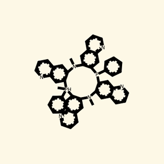 CN1c2cc3cccnc3cc2P(c2ccccc2)c2cc3ncccc3cc2N(C)c2cc3cccnc3cc2[PH](C)(c2ccccc2)c2cc3ncccc3cc21